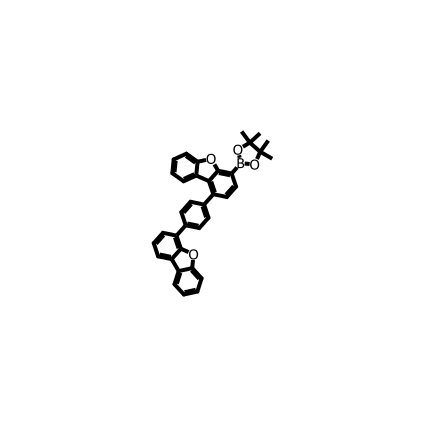 CC1(C)OB(c2ccc(-c3ccc(-c4cccc5c4oc4ccccc45)cc3)c3c2oc2ccccc23)OC1(C)C